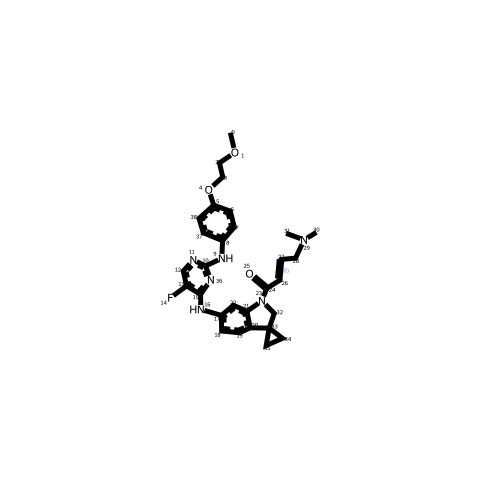 COCCOc1ccc(Nc2ncc(F)c(Nc3ccc4c(c3)N(C(=O)/C=C/CN(C)C)CC43CC3)n2)cc1